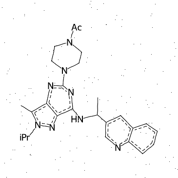 CC(=O)N1CCN(c2nc(NC(C)c3cnc4ccccc4c3)c3nn(C(C)C)c(C)c3n2)CC1